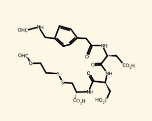 O=CNCc1ccc(CC(=O)N[C@@H](CC(=O)O)C(=O)N[C@@H](CC(=O)O)C(=O)N[C@@H](CSSCCOC=O)C(=O)O)cc1